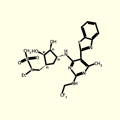 CCN(C[C@H]1C[C@@H](Nc2nc(NCC(F)(F)F)nc(C)c2-c2nc3ccccc3s2)[C@H](O)[C@@H]1O)S(C)(=O)=O